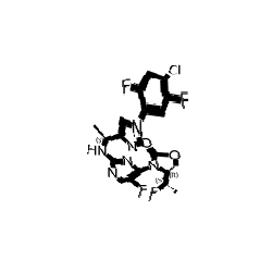 C[C@H](Nc1ncc(F)c(N2C(=O)OC[C@@H]2[C@H](C)F)n1)c1cn(-c2cc(F)c(Cl)cc2F)cn1